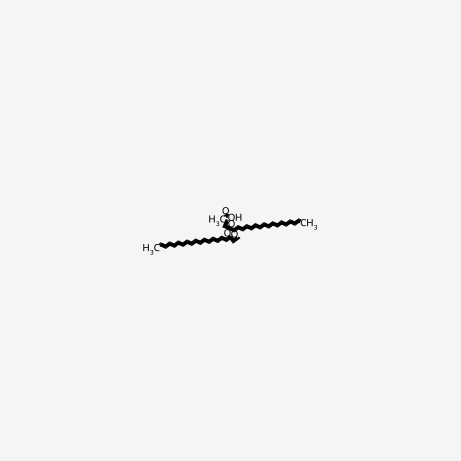 CC(=O)O.CCCCCCCCCCCCCCCCCC1(OC2(CCCCCCCCCCCCCCCCC)CCO2)CCO1